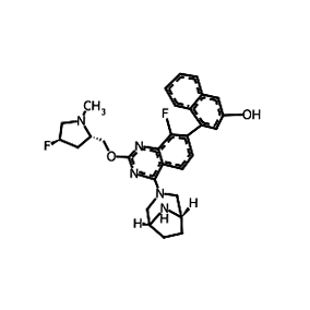 CN1C[C@H](F)C[C@H]1COc1nc(N2C[C@H]3CC[C@@H](C2)N3)c2ccc(-c3cc(O)cc4ccccc34)c(F)c2n1